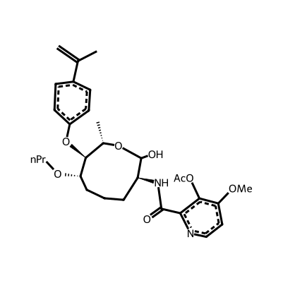 C=C(C)c1ccc(O[C@H]2[C@H](C)OC(O)[C@@H](NC(=O)c3nccc(OC)c3OC(C)=O)CCC[C@@H]2OCCC)cc1